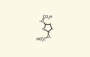 O=C(O)OC1CCC(OC(=O)O)S1